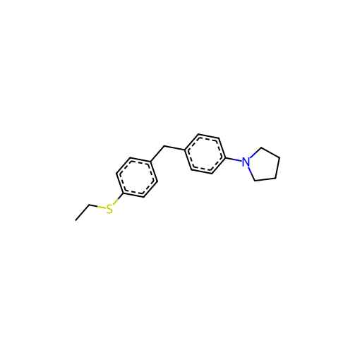 CCSc1ccc(Cc2ccc(N3CCCC3)cc2)cc1